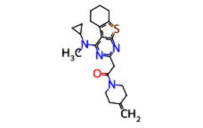 C=C1CCN(C(=O)Cc2nc(N(C)C3CC3)c3c4c(sc3n2)CCCC4)CC1